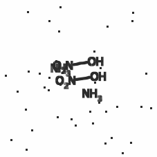 N.N.O=[N+]([O-])O.O=[N+]([O-])O